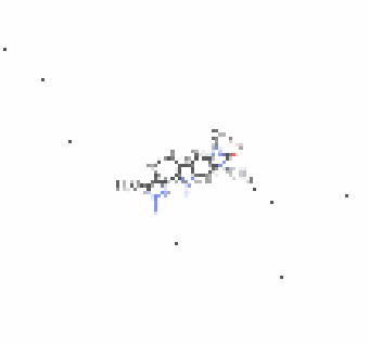 Cc1[nH]nc2c1CCCc1c-2[nH]c2cc3c(cc12)n(C)c(=O)n3C